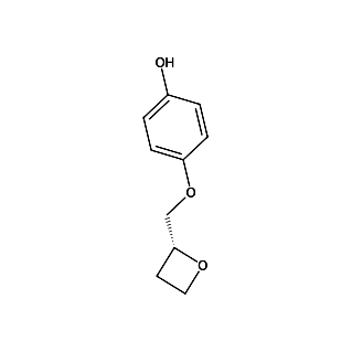 Oc1ccc(OC[C@H]2CCO2)cc1